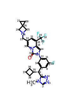 Cn1cnnc1[C@H](c1cc(F)cc(-n2cc3c(C(F)(F)F)cc(CN4CC5(CC5)C4)cn3c2=O)c1)C1CCC1